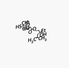 C=C(C)CC(O)(CC)CCOC(=O)COC(=O)C(C)(S)C(C)(C)C